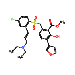 CCN(CC)CC=Cc1cc(F)ccc1S(=O)(=O)Cc1ccc(-c2ccoc2)c(O)c1C(=O)OC